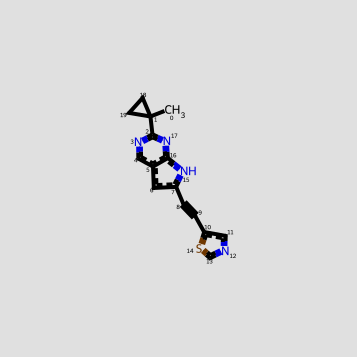 CC1(c2ncc3cc(C#Cc4cncs4)[nH]c3n2)CC1